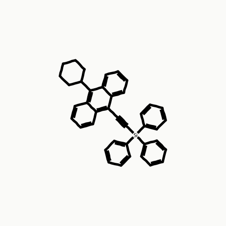 C(#C[Si](c1ccccc1)(c1ccccc1)c1ccccc1)c1c2ccccc2c(C2CCCCC2)c2ccccc12